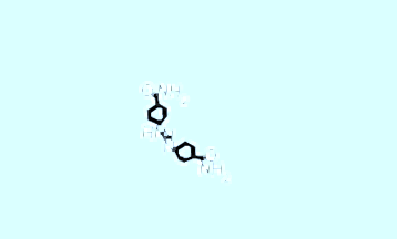 NC(=O)c1ccc(N=NNc2ccc(C(N)=O)cc2)cc1